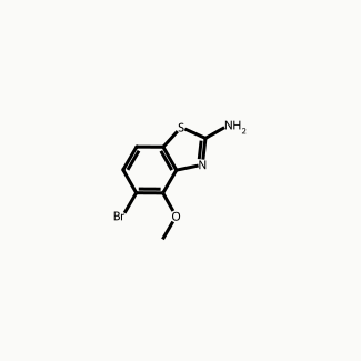 COc1c(Br)ccc2sc(N)nc12